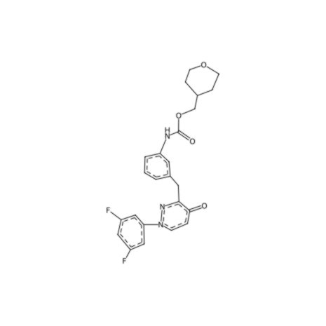 O=C(Nc1cccc(Cc2nn(-c3cc(F)cc(F)c3)ccc2=O)c1)OCC1CCOCC1